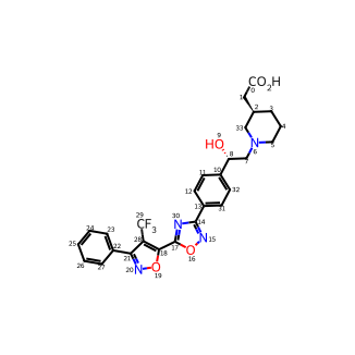 O=C(O)C[C@H]1CCCN(C[C@@H](O)c2ccc(-c3noc(-c4onc(-c5ccccc5)c4C(F)(F)F)n3)cc2)C1